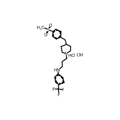 CS(=O)(=O)c1ccc(CC2CCN(CCCNc3ccc(C(F)(F)F)cc3)CC2)cc1.Cl.Cl